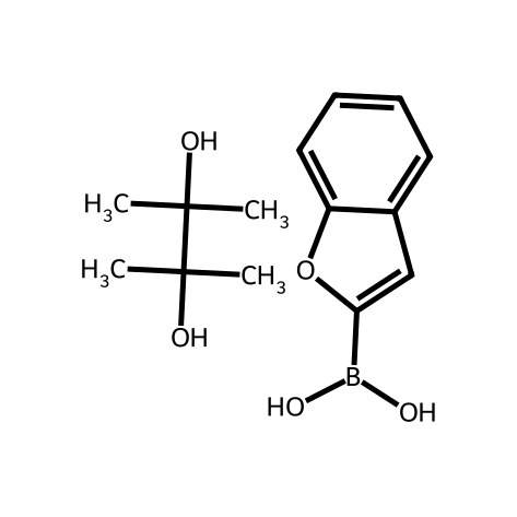 CC(C)(O)C(C)(C)O.OB(O)c1cc2ccccc2o1